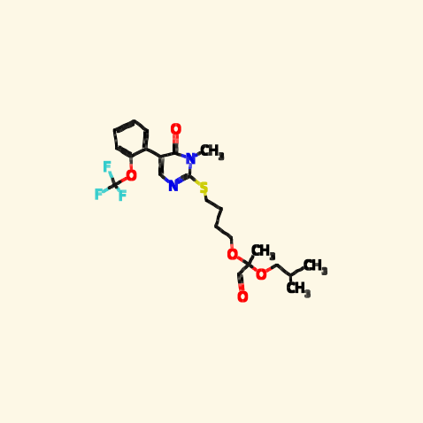 CC(C)COC(C)(C=O)OCCCCSc1ncc(-c2ccccc2OC(F)(F)F)c(=O)n1C